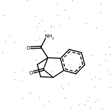 NC(=O)C12CCC(C1=O)c1[c]cccc12